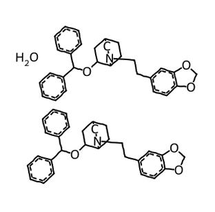 O.c1ccc(C(OC2CC3CCC2N(CCc2ccc4c(c2)OCO4)C3)c2ccccc2)cc1.c1ccc(C(OC2CC3CCC2N(CCc2ccc4c(c2)OCO4)C3)c2ccccc2)cc1